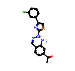 CC(=O)c1ccc(/C=N\Nc2nc(-c3cccc(Cl)c3)cs2)c(N)c1